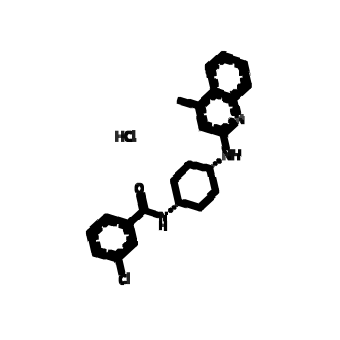 Cc1cc(N[C@H]2CC[C@@H](NC(=O)c3cccc(Cl)c3)CC2)nc2ccccc12.Cl